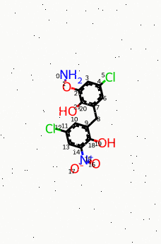 NOc1cc(Cl)cc(Cc2cc(Cl)cc([N+](=O)[O-])c2O)c1O